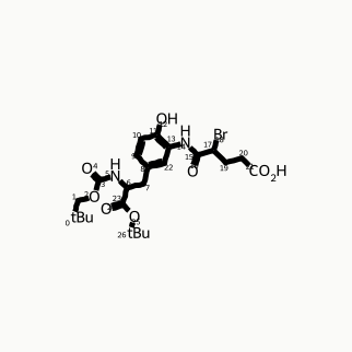 CC(C)(C)COC(=O)NC(Cc1ccc(O)c(NC(=O)C(Br)CCC(=O)O)c1)C(=O)OC(C)(C)C